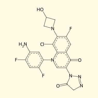 Nc1cc(-n2cc(N3N=NCC3=O)c(=O)c3cc(F)c(N4CC(O)C4)c(Cl)c32)c(F)cc1F